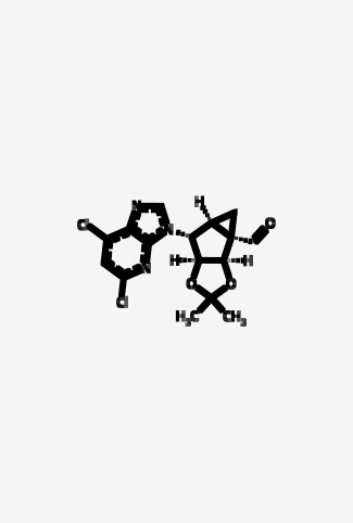 CC1(C)O[C@H]2[C@H](n3cnc4c(Cl)cc(Cl)nc43)[C@H]3C[C@@]3(C=O)[C@H]2O1